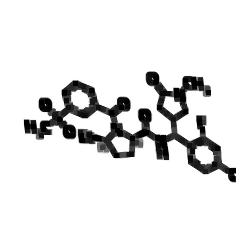 CC[C@@H]1CC[C@H](C(=O)NC(c2ccc(C(F)(F)F)cc2F)C2CC(=O)N(C)C2)N1C(=O)c1cccc(S(C)(=O)=O)c1